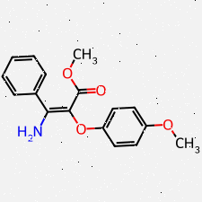 COC(=O)C(Oc1ccc(OC)cc1)=C(N)c1ccccc1